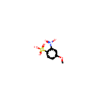 COc1[c]cc(S(=O)(=O)O)c([N+](=O)[O-])c1